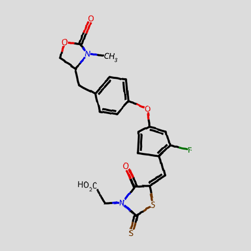 CN1C(=O)OCC1Cc1ccc(Oc2ccc(/C=C3/SC(=S)N(CC(=O)O)C3=O)c(F)c2)cc1